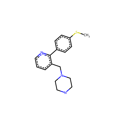 CSc1ccc(-c2ncccc2CN2CC[N]CC2)cc1